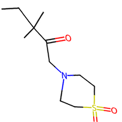 CCC(C)(C)C(=O)CN1CCS(=O)(=O)CC1